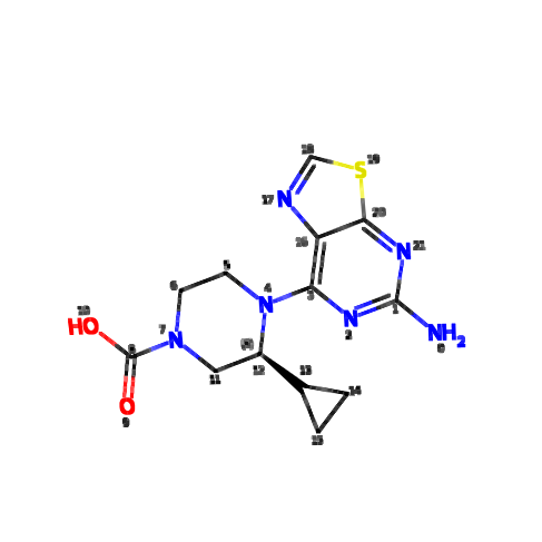 Nc1nc(N2CCN(C(=O)O)C[C@@H]2C2CC2)c2ncsc2n1